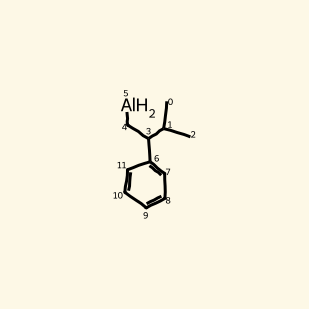 CC(C)C([CH2][AlH2])c1ccccc1